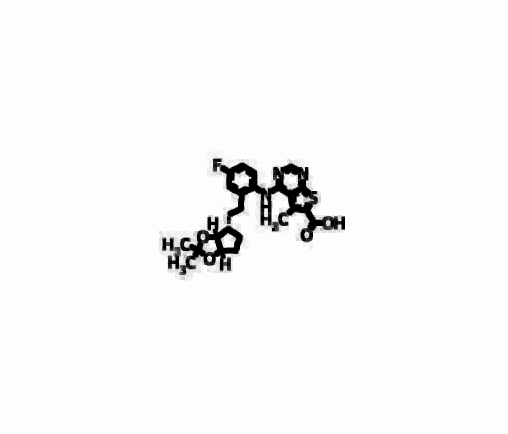 Cc1c(C(=O)O)sc2ncnc(Nc3ccc(F)cc3CC[C@@H]3CC[C@@H]4OC(C)(C)O[C@H]34)c12